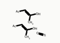 CC(=O)/C=C(\C)O.CC(=O)/C=C(\C)O.[O]=[Ti]